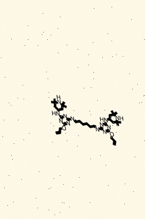 C=CCOc1nc(N=CCCCCC=Nc2nc(NC3CC(C)(C)NC(C)(C)C3)nc(OCC=C)n2)nc(NC2CC(C)(C)NC(C)(C)C2)n1